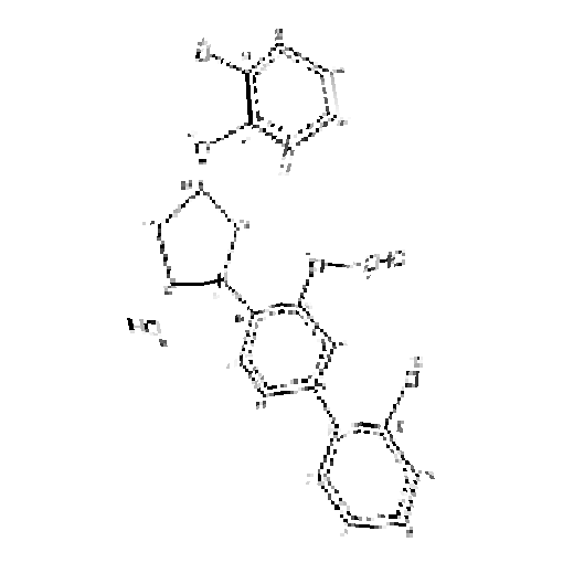 Cl.O=COc1cc(-c2ccccc2Cl)ccc1N1CC[C@H](Oc2ncccc2Cl)C1